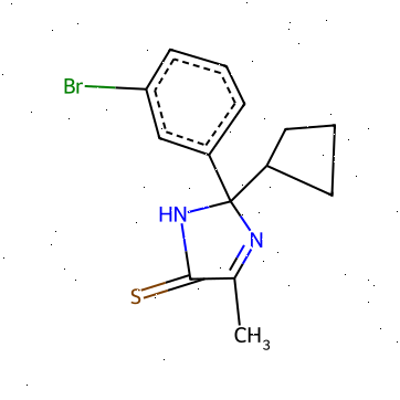 CC1=NC(c2cccc(Br)c2)(C2CCC2)NC1=S